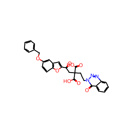 O=C(CC(CCn1nnc2ccccc2c1=O)(C(=O)O)C(=O)O)c1cc2cc(OCc3ccccc3)ccc2o1